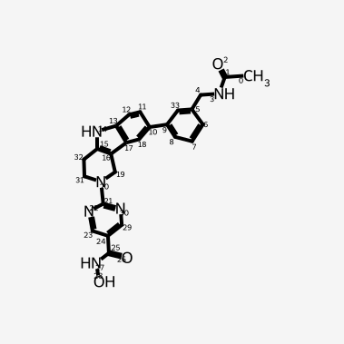 CC(=O)NCc1cccc(-c2ccc3[nH]c4c(c3c2)CN(c2ncc(C(=O)NO)cn2)CC4)c1